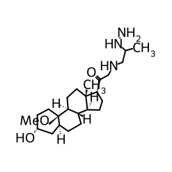 COC[C@]12CC[C@@H](O)C[C@@H]1CC[C@H]1[C@@H]3CC[C@H](C(=O)CNCC(C)NN)[C@@]3(C)CC[C@@H]12